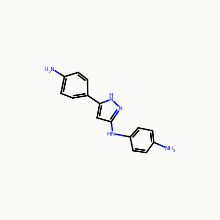 Nc1ccc(Nc2cc(-c3ccc(N)cc3)[nH]n2)cc1